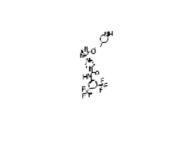 O=C(Nc1cc(C(F)(F)F)cc(C(F)(F)F)c1)N1CCN(c2nsnc2OCCC2CCNCC2)CC1